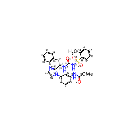 COC(=O)Nc1cccc(-n2ccnc2[C@H](Cc2ccccc2)NC(=O)NS(=O)(=O)c2ccccc2C)c1